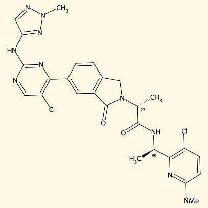 CNc1ccc(Cl)c([C@@H](C)NC(=O)[C@@H](C)N2Cc3ccc(-c4nc(Nc5cnn(C)n5)ncc4Cl)cc3C2=O)n1